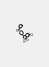 O=C(c1ccccc1)N1CCC(c2c[nH]c(=O)c3cc(Cl)ccc23)CC1